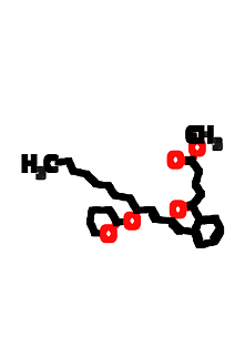 CCCCCCCCC(/C=C/C=C/c1ccccc1C(=O)CCCC(=O)OC)OC1CCCCO1